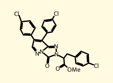 COC(=O)C(Cc1ccc(Cl)cc1)n1nc2c(-c3ccc(Cl)cc3)c(-c3ccc(Cl)cc3)cnn2c1=O